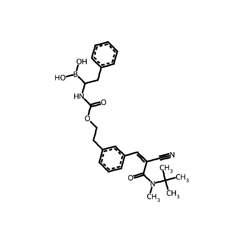 CN(C(=O)C(C#N)=Cc1cccc(CCOC(=O)NC(Cc2ccccc2)B(O)O)c1)C(C)(C)C